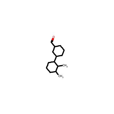 CC1CCCC(C2CCCC(C=O)C2)C1C